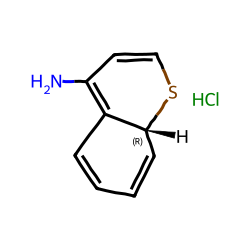 Cl.NC1=C2C=CC=C[C@H]2SC=C1